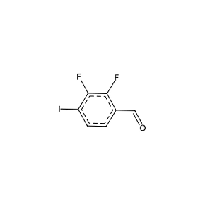 O=Cc1ccc(I)c(F)c1F